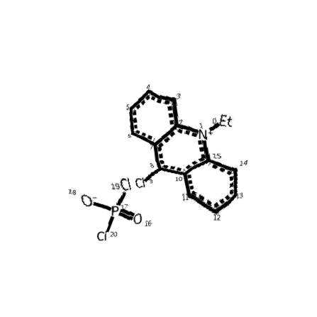 CC[n+]1c2ccccc2c(Cl)c2ccccc21.O=P([O-])(Cl)Cl